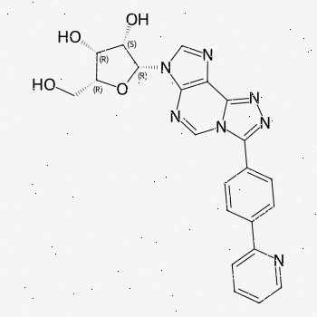 OC[C@H]1O[C@@H](n2cnc3c2ncn2c(-c4ccc(-c5ccccn5)cc4)nnc32)[C@@H](O)[C@H]1O